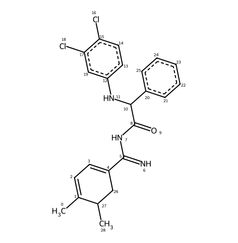 CC1=CC=C(C(=N)NC(=O)C(Nc2ccc(Cl)c(Cl)c2)c2ccccc2)CC1C